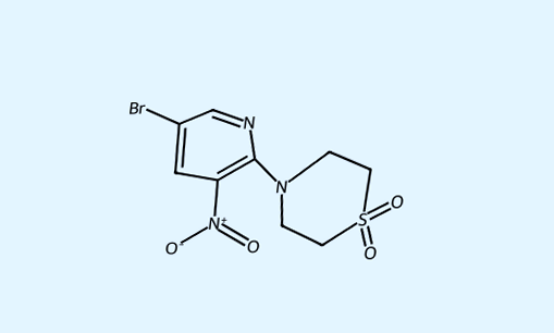 O=[N+]([O-])c1cc(Br)cnc1N1CCS(=O)(=O)CC1